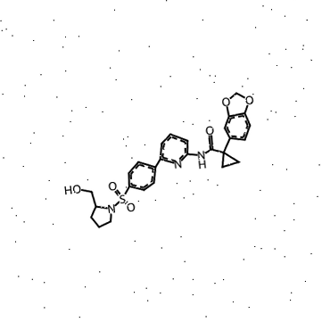 O=C(Nc1cccc(-c2ccc(S(=O)(=O)N3CCCC3CO)cc2)n1)C1(c2ccc3c(c2)OCO3)CC1